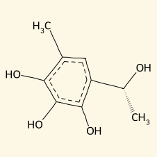 Cc1cc([C@@H](C)O)c(O)c(O)c1O